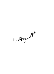 CCCc1cc(-c2nc(C(C)(C)C)co2)ccc1OCCCOc1ccc2c(ccn2CC(=O)O)c1